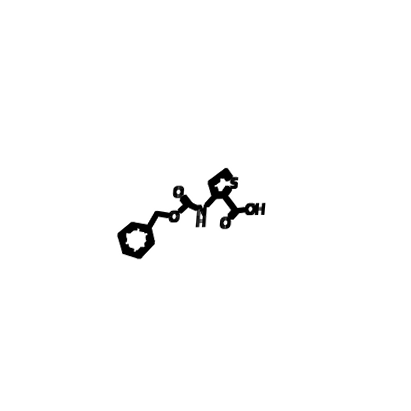 O=C(Nc1ccsc1C(=O)O)OCc1ccccc1